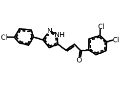 O=C(/C=C/c1cc(-c2ccc(Cl)cc2)n[nH]1)c1ccc(Cl)c(Cl)c1